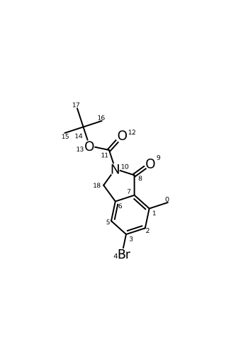 Cc1cc(Br)cc2c1C(=O)N(C(=O)OC(C)(C)C)C2